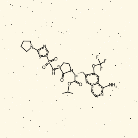 CC(C)OC(=O)[C@@H](Cc1cc2ccnc(N)c2cc1OC(F)(F)F)N1CC[C@H](NS(=O)(=O)c2cnc(N3CCCC3)s2)C1=O